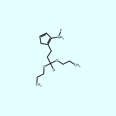 CCCOC([O])(CCC1=C([SiH2]F)C=CC1)OCCC